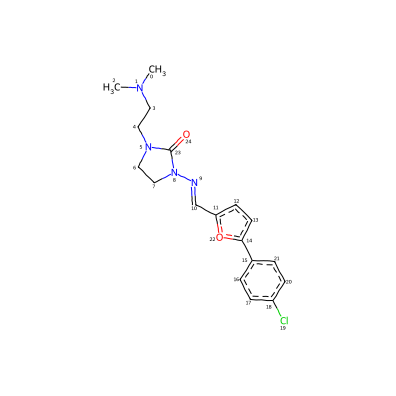 CN(C)CCN1CCN(N=Cc2ccc(-c3ccc(Cl)cc3)o2)C1=O